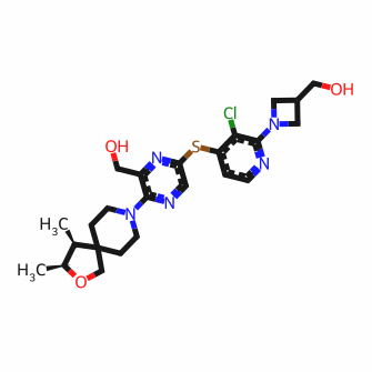 C[C@@H]1OCC2(CCN(c3ncc(Sc4ccnc(N5CC(CO)C5)c4Cl)nc3CO)CC2)[C@@H]1C